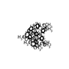 Cc1cccc2c1N(c1cc3c4c(c1)N(c1ccc5c(c1)C(C)(C)CCC5(C)C)c1c(oc5c1C(C)(C)CCC5(C)C)B4c1cc(C(C)(C)C)ccc1N3c1ccc(C(C)(C)C)cc1)c1ccccc1S2